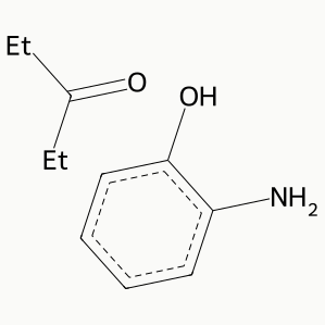 CCC(=O)CC.Nc1ccccc1O